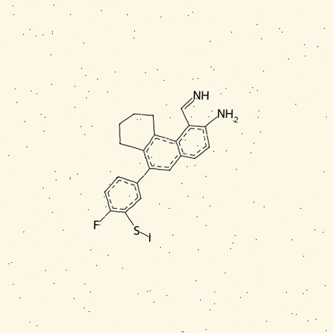 N=Cc1c(N)ccc2cc(-c3ccc(F)c(SI)c3)c3c(c12)CCCC3